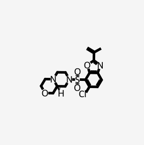 C=C(C)c1nc2ccc(Cl)c(S(=O)(=O)N3CCN4CCOC[C@H]4C3)c2o1